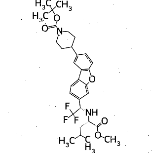 COC(=O)[C@H](CC(C)C)N[C@@H](c1ccc2c(c1)oc1ccc(C3CCN(C(=O)OC(C)(C)C)CC3)cc12)C(F)(F)F